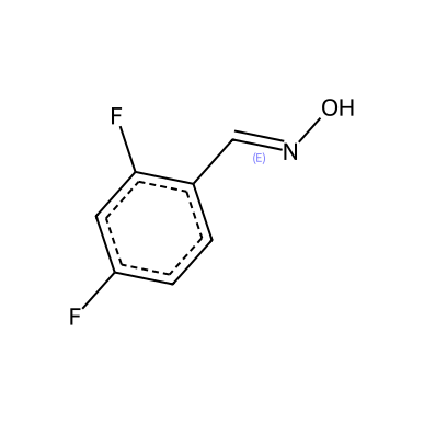 O/N=C/c1ccc(F)cc1F